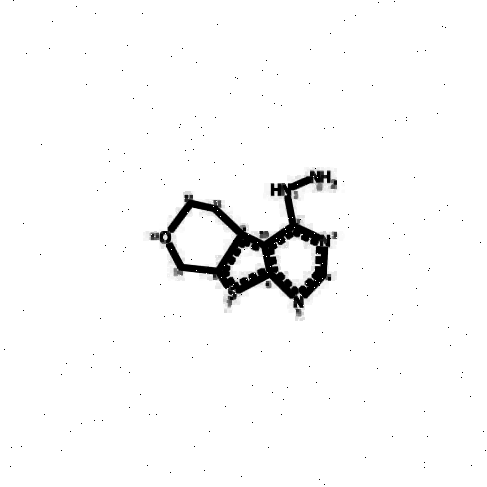 NNc1ncnc2sc3c(c12)CCOC3